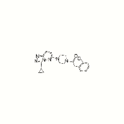 O=C(Cc1ccccc1Cl)N1CCN(c2ccc3nnc(C4CC4)n3n2)CC1